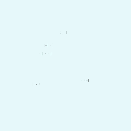 CCCCCC(c1ccc(O)c(-c2ccccc2)c1)(c1ccc(O)c(-c2ccccc2)c1)c1cccc(C)c1C